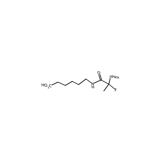 CCCCCCC(C)(F)C(=O)NCCCCCC(=O)O